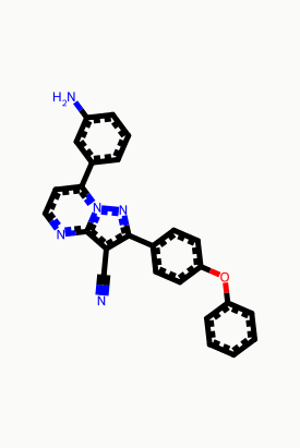 N#Cc1c(-c2ccc(Oc3ccccc3)cc2)nn2c(-c3cccc(N)c3)ccnc12